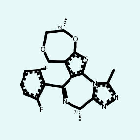 Cc1nnc2n1-c1sc3c(c1C(c1c(F)cccc1F)=N[C@H]2C)COC[C@H](C)O3